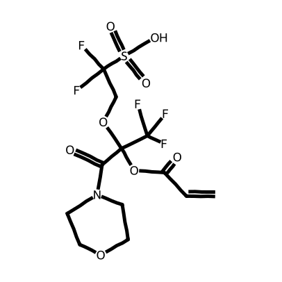 C=CC(=O)OC(OCC(F)(F)S(=O)(=O)O)(C(=O)N1CCOCC1)C(F)(F)F